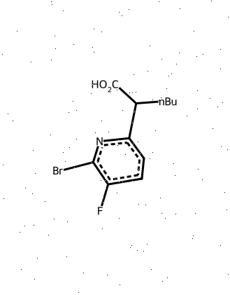 CCCCC(C(=O)O)c1ccc(F)c(Br)n1